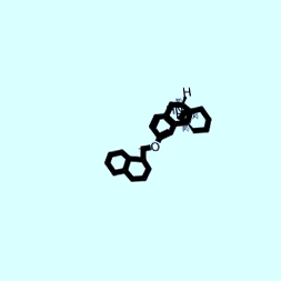 [CH](Oc1ccc2c(c1)[C@@]13CCCC[C@H]1[C@@H](C2)NCC3)C1CCCC2CCCCC12